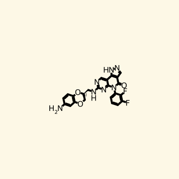 Nc1ccc2c(c1)OC[C@H](CNc1ncc3c4[nH]ncc4c(=O)n(-c4cccc(F)c4F)c3n1)O2